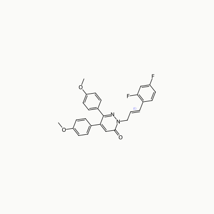 COc1ccc(-c2cc(=O)n(C/C=C/c3ccc(F)cc3F)nc2-c2ccc(OC)cc2)cc1